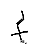 CC=CC(C)(C)N